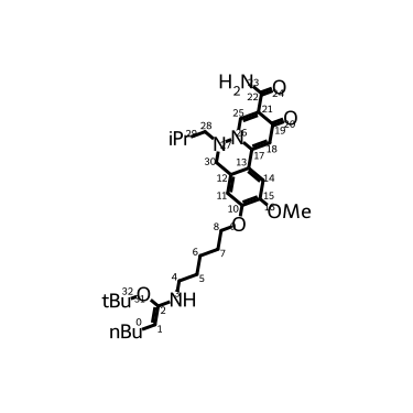 CCCCC=C(NCCCCCOc1cc2c(cc1OC)-c1cc(=O)c(C(N)=O)cn1N(CC(C)C)C2)OC(C)(C)C